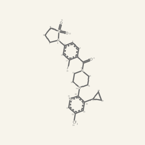 O=C(c1ccc(N2CCCS2(=O)=O)cc1F)N1CCN(c2ncc(C(F)(F)F)cc2C2CC2)CC1